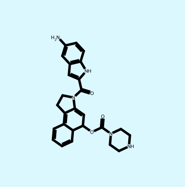 Nc1ccc2[nH]c(C(=O)N3CCC4=C5C=CC=CC5C(OC(=O)N5CCNCC5)C=C43)cc2c1